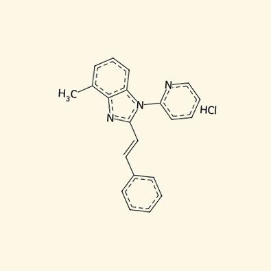 Cc1cccc2c1nc(C=Cc1ccccc1)n2-c1ccccn1.Cl